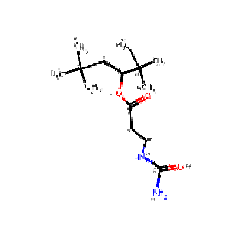 CC(C)(C)CC(OC(=O)CCNC(N)=O)C(C)(C)C